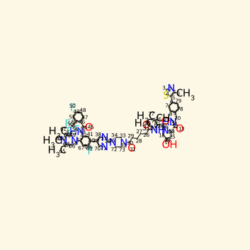 Cc1ncsc1-c1ccc(CNC(=O)[C@@H]2C[C@@H](O)CN2C(=O)[C@@H](NC(=O)CCCCC(=O)N2CCN(c3ncc(-c4cc(NC(=O)c5ccc(F)cc5C(F)(F)F)c(N5C[C@@H](C)N(C)[C@@H](C)C5)cc4F)cn3)CC2)C(C)(C)C)cc1